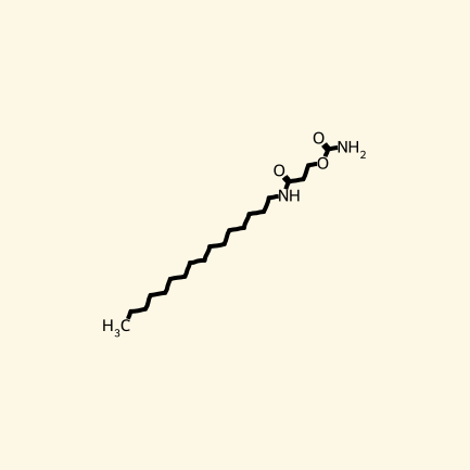 CCCCCCCCCCCCCCCCNC(=O)CCOC(N)=O